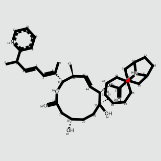 C/C(=C\C=C\C(C)c1ccccn1)[C@H]1OC(=O)C[C@@H](O)CC[C@](C)(O)[C@@H](OC(=O)N2CC3CCC(C2)N3C2CCCCCC2)/C=C/[C@@H]1C